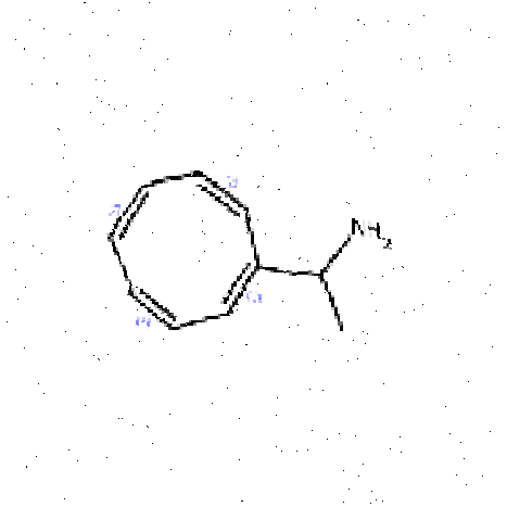 CC(N)C1=C/C=C\C=C/C=C\1